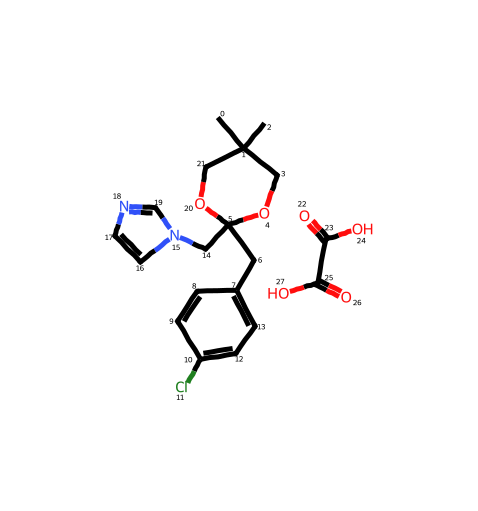 CC1(C)COC(Cc2ccc(Cl)cc2)(Cn2ccnc2)OC1.O=C(O)C(=O)O